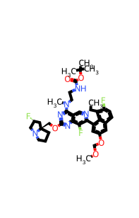 CCc1c(F)ccc2cc(OCOC)cc(-c3ncc4c(N(C)CCNC(=O)OC(C)(C)C)nc(OC[C@@]56CCCN5C[C@H](F)C6)nc4c3F)c12